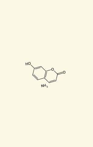 N.O=c1ccc2ccc(O)cc2o1